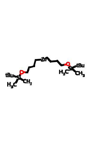 CC(C)(C)[Si](C)(C)OCCC[CH2][Zn][CH2]CCCO[Si](C)(C)C(C)(C)C